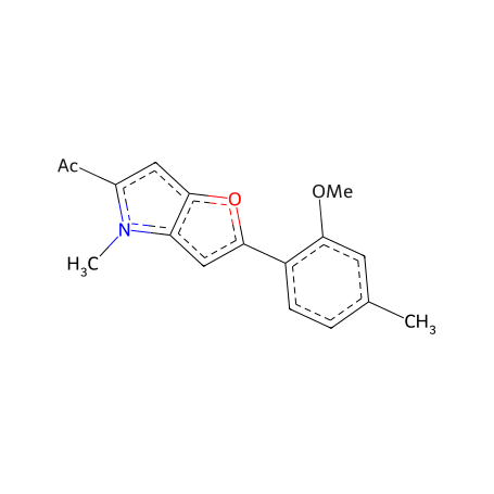 COc1cc(C)ccc1-c1cc2c(cc(C(C)=O)n2C)o1